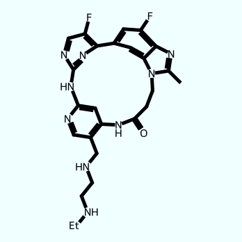 CCNCCNCc1cnc2cc1NC(=O)CCn1c(C)nc3c(F)cc(cc31)-c1nc(ncc1F)N2